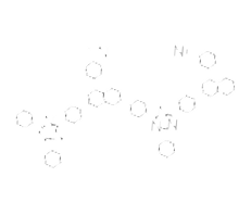 N#Cc1ccc(-c2cc(-c3ccc(-c4nc(-c5ccccc5)nc(-c5ccccc5)n4)cc3)cc3cc(-c4ccc(-c5nc(-c6ccccc6)nc(-c6ccc(-c7cc(-c8cccc(C#N)c8)c8ccccc8c7)cc6)n5)cc4)ccc23)cc1